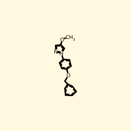 COc1cnn(-c2ccc(OCc3ccccc3)cc2)c1